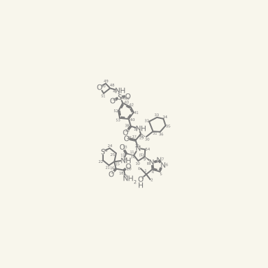 CC(C)(O)c1cnnn1[C@H]1C[C@@H](C(=O)NC2(C(=O)C(N)=O)CCSCC2)N(C(=O)[C@@H](CC2CCCCC2)NC(=O)c2ccc(S(=O)(=O)NC3COC3)cc2)C1